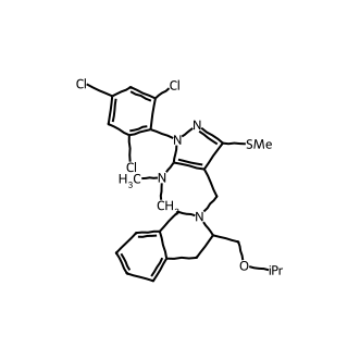 CSc1nn(-c2c(Cl)cc(Cl)cc2Cl)c(N(C)C)c1CN1Cc2ccccc2CC1COC(C)C